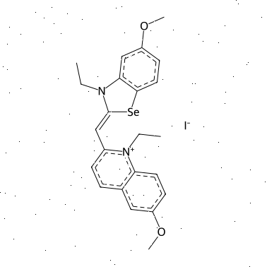 CCN1C(=Cc2ccc3cc(OC)ccc3[n+]2CC)[Se]c2ccc(OC)cc21.[I-]